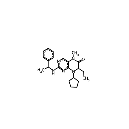 CCC1C(=O)N(C)c2cnc(NC(C)c3ccccc3)nc2N1C1CCCC1